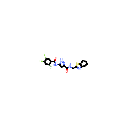 O=C(NCc1nc2ccccc2s1)c1cc(NC(=O)c2cc(F)c(F)cc2Cl)[nH]n1